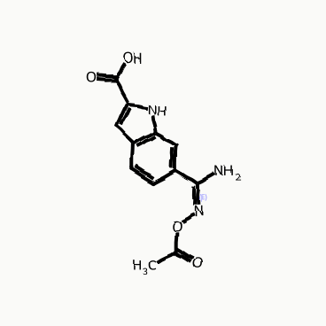 CC(=O)O/N=C(/N)c1ccc2cc(C(=O)O)[nH]c2c1